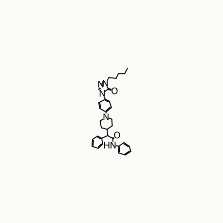 CCCCCn1ncn(-c2ccc(N3CCC(C(C(=O)Nc4ccccc4)c4ccccc4)CC3)cc2)c1=O